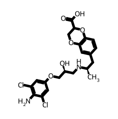 C[C@H](Cc1ccc2c(c1)OCC(C(=O)O)O2)NC[C@H](O)COc1cc(Cl)c(N)c(Cl)c1